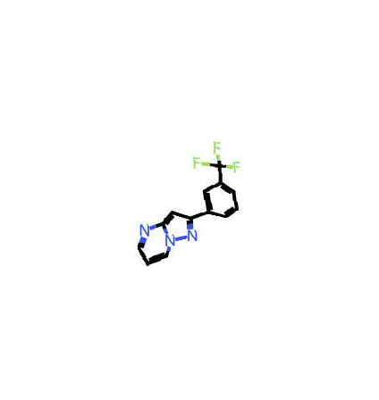 FC(F)(F)c1cccc(-c2cc3ncccn3n2)c1